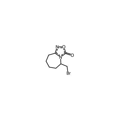 O=c1onc2n1C(CBr)CCCC2